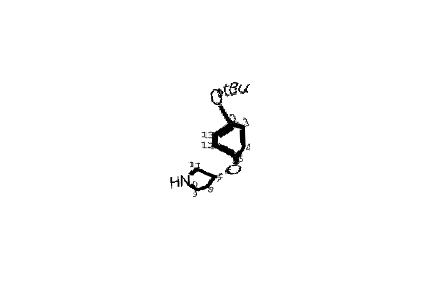 CC(C)(C)Oc1ccc(O[C@@H]2CCNC2)cc1